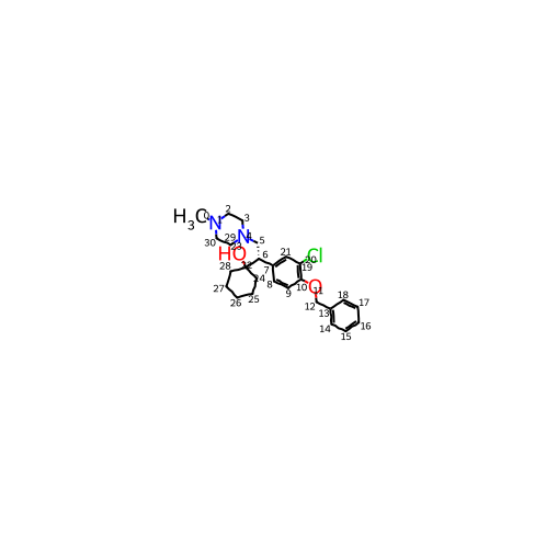 CN1CCN(C[C@H](c2ccc(OCc3ccccc3)c(Cl)c2)C2(O)CCCCC2)CC1